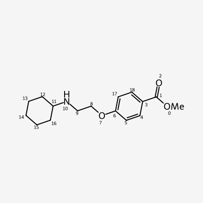 COC(=O)c1ccc(OCCNC2CCCCC2)cc1